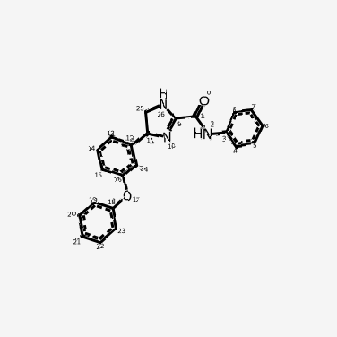 O=C(Nc1ccccc1)C1=NC(c2cccc(Oc3ccccc3)c2)CN1